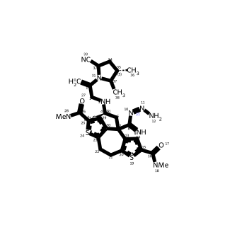 C=C(CN[C@H](C)CC1(C(=N)/N=N\N)c2cc(C(=O)NC)sc2CCc2sc(C(=O)NC)cc21)N1C(C#N)C[C@H](C)C1C